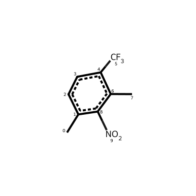 Cc1ccc(C(F)(F)F)c(C)c1[N+](=O)[O-]